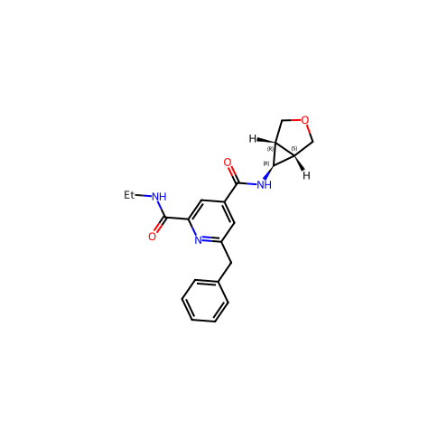 CCNC(=O)c1cc(C(=O)N[C@H]2[C@@H]3COC[C@@H]32)cc(Cc2ccccc2)n1